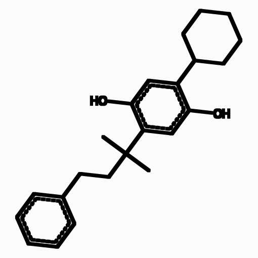 CC(C)(CCc1ccccc1)c1cc(O)c(C2CCCCC2)cc1O